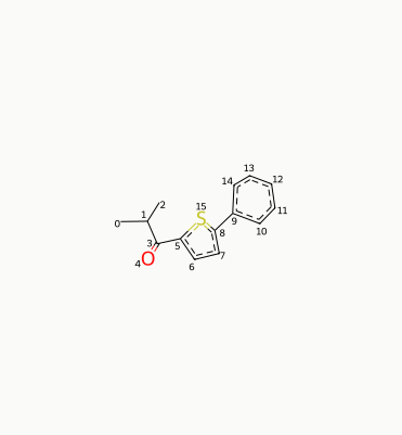 CC(C)C(=O)c1ccc(-c2ccccc2)s1